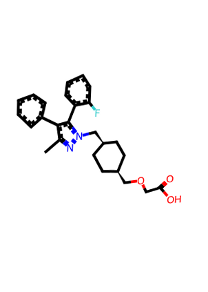 Cc1nn(C[C@H]2CC[C@@H](COCC(=O)O)CC2)c(-c2ccccc2F)c1-c1ccccc1